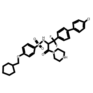 O=C(C(NS(=O)(=O)c1ccc(OCC2CCCCC2)cc1)C(F)(F)c1ccc(-c2ccc(Cl)cc2)cc1)N1CCNCC1